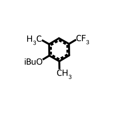 Cc1cc(C(F)(F)F)cc(C)c1OCC(C)C